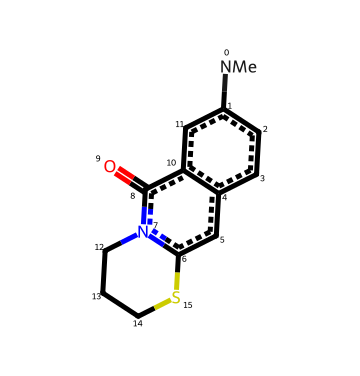 CNc1ccc2cc3n(c(=O)c2c1)CCCS3